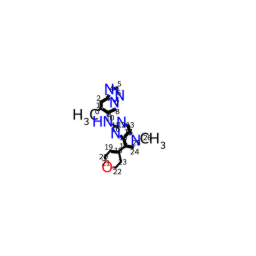 Cc1cc2ncnn2cc1Nc1ncc2c(n1)c(C1=CCOCC1)cn2C